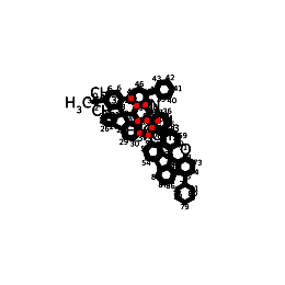 CC(C)(C)c1ccc2c(c1)C1(c3cc(C(C)(C)C)ccc3O2)c2ccccc2-c2ccc(N(c3cccc(-n4c5ccccc5c5ccccc54)c3)c3ccc4c(c3)C3(c5cc(C6CCCCC6)ccc5Oc5ccc(C6CCCCC6)cc53)c3ccccc3-4)cc21